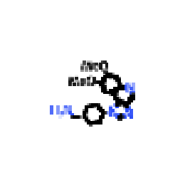 COc1cc2ncc3ncn([C@H]4CC[C@H](CN)CC4)c3c2cc1OC